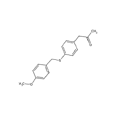 COc1ccc(CSc2ccc(CC(C)=O)cc2)cc1